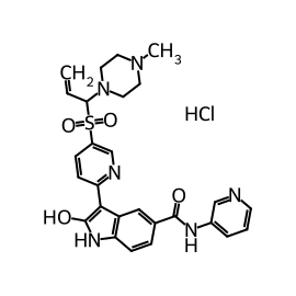 C=CC(N1CCN(C)CC1)S(=O)(=O)c1ccc(-c2c(O)[nH]c3ccc(C(=O)Nc4cccnc4)cc23)nc1.Cl